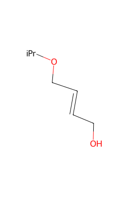 CC(C)OC/C=C/CO